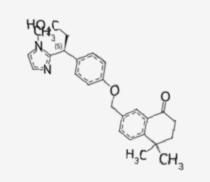 Cn1ccnc1[C@@H](CC(=O)O)c1ccc(OCc2ccc3c(c2)C(=O)CCC3(C)C)cc1